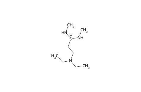 CCN(CC)CC[SiH](NC)NC